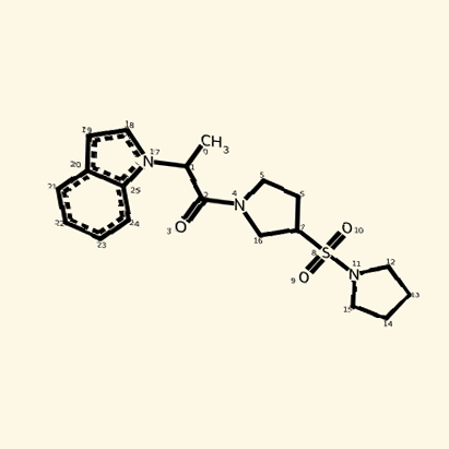 CC(C(=O)N1CCC(S(=O)(=O)N2CCCC2)C1)n1ccc2ccccc21